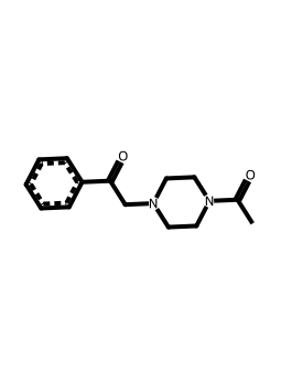 CC(=O)N1CCN(CC(=O)c2ccccc2)CC1